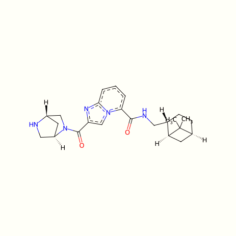 CC1(C)[C@H]2CC[C@@H](CNC(=O)c3cccc4nc(C(=O)N5C[C@@H]6C[C@@H]5CN6)cn34)[C@@H]1C2